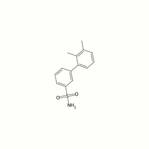 Cc1cccc(-c2cccc(S(N)(=O)=O)c2)c1C